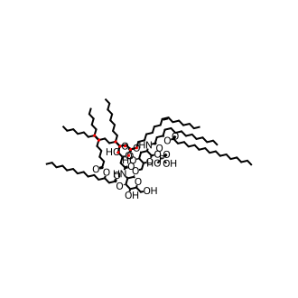 CCCCCC/C=C\CCCCCCCC(=O)OC(CCCCCCCCCCC)CC(=O)NC1[C@H](OCC2OC(OP(=O)(O)O)C(NC(=O)CC(CCCCCCCCCCC)OC(=O)CCCCCCCCCCCCCCC)[C@@H](OC(=O)CC(O)CCCCCCCCCCC)[C@@H]2O)OC(CO)C(O)[C@@H]1OC(=O)CC(CCCCCCCCCCC)OC(=O)CCCCCCCCCCC